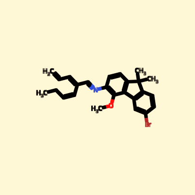 C=C/C=C(\C=C/CC)/C=N/c1ccc2c(c1OC)-c1cc(Br)ccc1C2(C)C